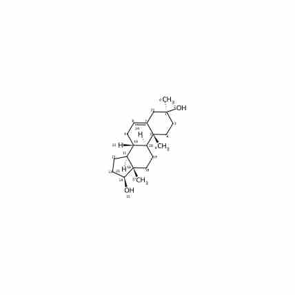 C[C@]1(O)CC[C@@]2(C)C(=CC[C@H]3[C@@H]4CC[C@H](O)[C@@]4(C)CC[C@@H]32)C1